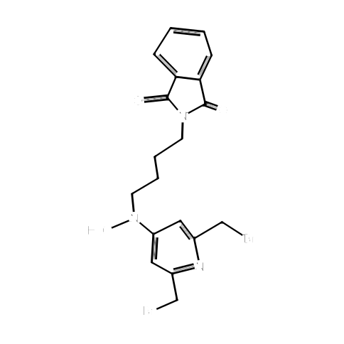 CN(CCCCN1C(=O)c2ccccc2C1=O)c1cc(CBr)nc(CBr)c1